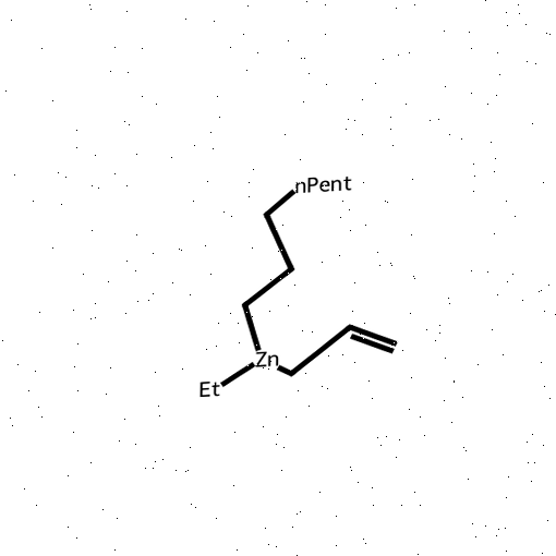 C=C[CH2][Zn]([CH2]C)[CH2]CCCCCCC